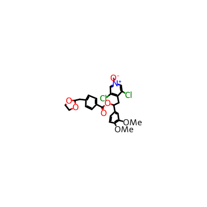 COc1ccc(C(Cc2c(Cl)c[n+]([O-])cc2Cl)OC(=O)c2ccc(CC3OCCO3)cc2)cc1OC